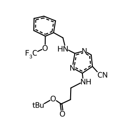 CC(C)(C)OC(=O)CCNc1nc(NCc2ccccc2OC(F)(F)F)ncc1C#N